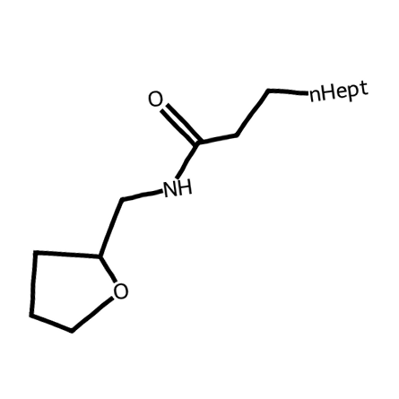 CCCCCCCCCC(=O)NCC1CCCO1